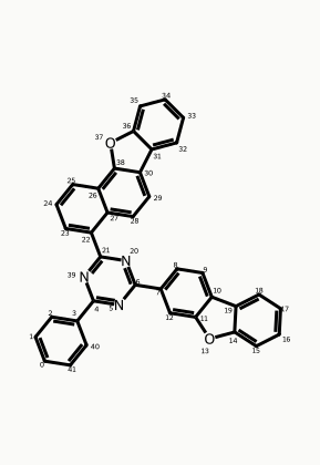 c1ccc(-c2nc(-c3ccc4c(c3)oc3ccccc34)nc(-c3cccc4c3ccc3c5ccccc5oc43)n2)cc1